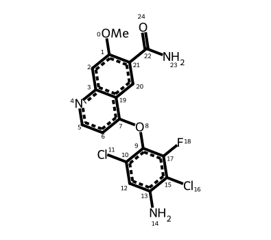 COc1cc2nccc(Oc3c(Cl)cc(N)c(Cl)c3F)c2cc1C(N)=O